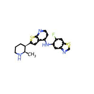 C[C@H]1NCCC[C@H]1c1cc2c(Nc3cc4ncsc4cc3F)ccnc2s1